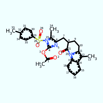 CC(=O)Oc1nc(CC2CCc3c(C)c4ccccc4n3C2=O)c(C)n1S(=O)(=O)c1ccc(C)cc1